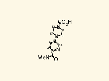 CNC(=O)c1ccc(N2CCN(C(=O)O)CC2)cn1